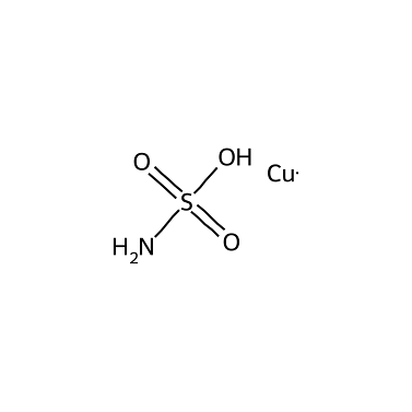 NS(=O)(=O)O.[Cu]